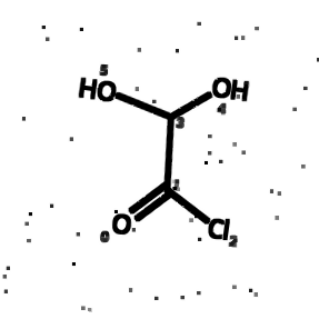 O=C(Cl)C(O)O